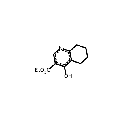 CCOC(=O)c1cnc2c(c1O)CCCC2